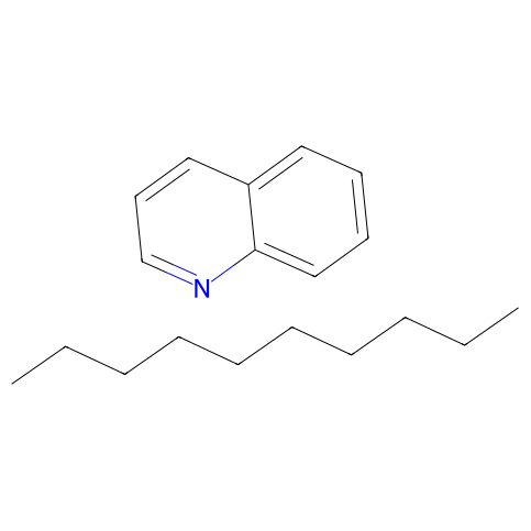 CCCCCCCCCC.c1ccc2ncccc2c1